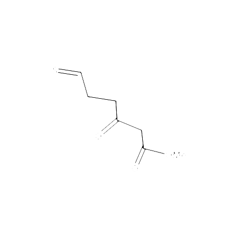 COC(=O)CC(=O)CCC=S